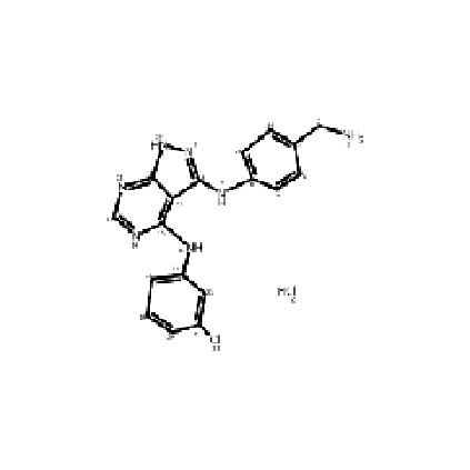 Cl.NCc1ccc(Nc2n[nH]c3ncnc(Nc4cccc(Cl)c4)c23)cc1